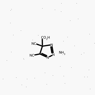 N.N#CC1=NN=NC1(C#N)C(=O)O